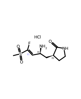 CS(=O)(=O)/C(F)=C/[C@@H](N)C[C@@H]1CCNC1=O.Cl